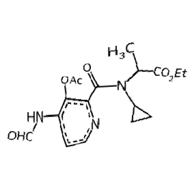 CCOC(=O)C(C)N(C(=O)c1nccc(NC=O)c1OC(C)=O)C1CC1